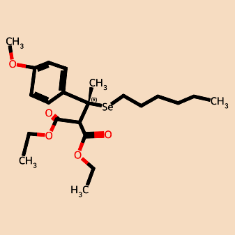 CCCCCC[Se][C@@](C)(c1ccc(OC)cc1)C(C(=O)OCC)C(=O)OCC